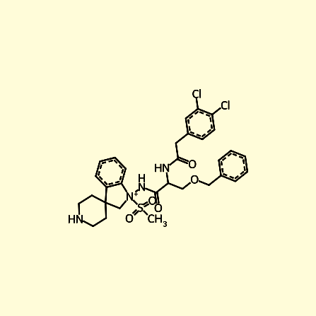 CS(=O)(=O)[N+]1(NC(=O)C(COCc2ccccc2)NC(=O)Cc2ccc(Cl)c(Cl)c2)CC2(CCNCC2)c2ccccc21